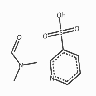 CN(C)C=O.O=S(=O)(O)c1cccnc1